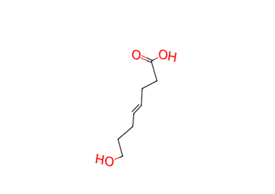 O=C(O)CC/C=C/CCCO